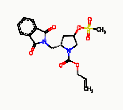 C=CCOC(=O)N1C[C@H](OS(C)(=O)=O)C[C@H]1CN1C(=O)c2ccccc2C1=O